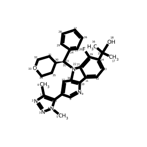 Cc1nnn(C)c1-c1cnc2c3ccc(C(C)(C)O)c(F)c3n([C@H](c3ccccc3)C3CCOCC3)c2c1